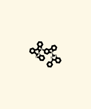 c1ccc(-c2nc(-n3c4ccccc4c4cc(-n5c6ccccc6c6c7ccccc7c7nc8ccccc8n7c65)ccc43)nc3ccccc23)cc1